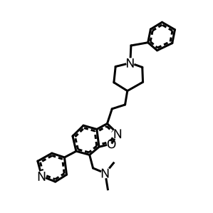 CN(C)Cc1c(-c2ccncc2)ccc2c(CCC3CCN(Cc4ccccc4)CC3)noc12